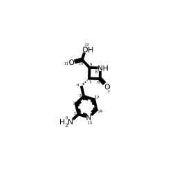 Nc1cc(C[C@H]2C(=O)NC2C(=O)O)ccn1